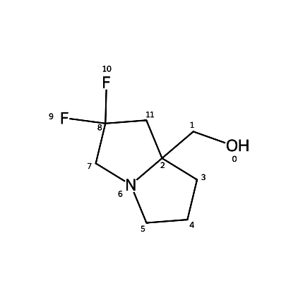 OCC12CCCN1CC(F)(F)C2